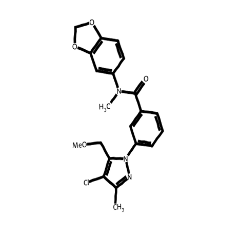 COCc1c(Cl)c(C)nn1-c1cccc(C(=O)N(C)c2ccc3c(c2)OCO3)c1